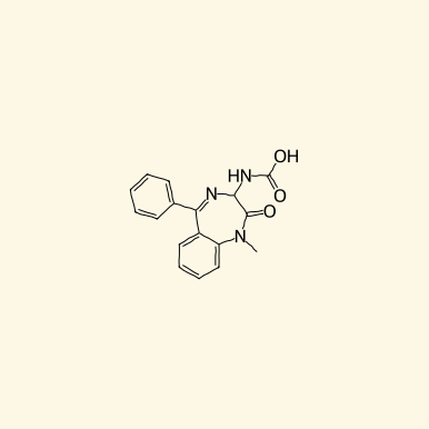 CN1C(=O)C(NC(=O)O)N=C(c2ccccc2)c2ccccc21